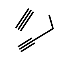 C#C.C#CCC